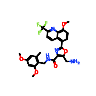 COc1cc(C)c(CNC(=O)c2nc(-c3ccc(OC)c4nc(C(F)(F)F)ccc34)oc2CN)c(OC)c1